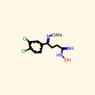 CON=C(CCC(=N)NO)c1ccc(Cl)c(Cl)c1